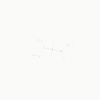 C=C(N)C(F)(F)/C(N)=N/O